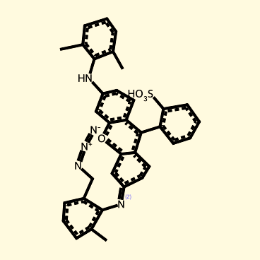 Cc1cccc(CN=[N+]=[N-])c1/N=c1/ccc2c(-c3ccccc3S(=O)(=O)O)c3ccc(Nc4c(C)cccc4C)cc3oc-2c1